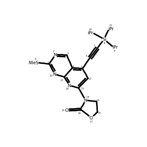 CSc1ncc2c(C#C[Si](C(C)C)(C(C)C)C(C)C)cc(N3CCOC3=O)nc2n1